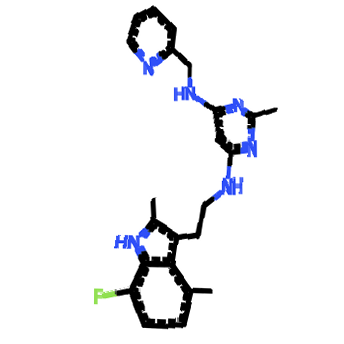 Cc1nc(NCCc2c(C)[nH]c3c(F)ccc(C)c23)cc(NCc2ccccn2)n1